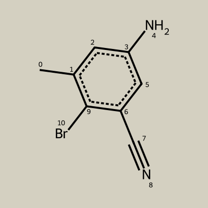 Cc1cc(N)cc(C#N)c1Br